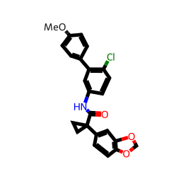 COc1ccc(-c2cc(NC(=O)C3(c4ccc5c(c4)OCO5)CC3)ccc2Cl)cc1